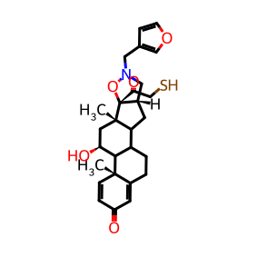 C[C@]12C=CC(=O)C=C1CCC1C2[C@@H](O)C[C@@]2(C)C1C[C@H]1CN(Cc3ccoc3)O[C@]12C(=O)CS